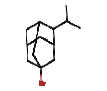 CC(C)C1C2CC3CC1CC(Br)(C3)C2